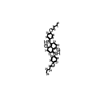 CCCCOc1ccc(NC2=C3C(=O)C=CC(Nc4ccc(OCCCC)cc4)=C3C(=O)C=C2)cc1